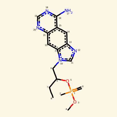 C=P(C)(OC)OC(CC)Cn1cnc2cc3c(N)ncnc3cc21